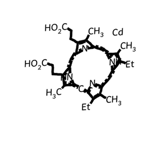 CCC1=C(C)c2cc3[nH]c(cc4nc(cc5[nH]c(cc1n2)c(C)c5CCC(=O)O)C(CCC(=O)O)=C4C)c(C)c3CC.[Cd]